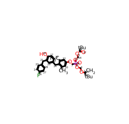 C=C(OCOP(=O)(COc1cc(C)c(Cc2ccc(O)c(Cc3ccc(F)cc3)c2)c(C)c1)OCOC(=O)C(C)(C)C)C(C)(C)C